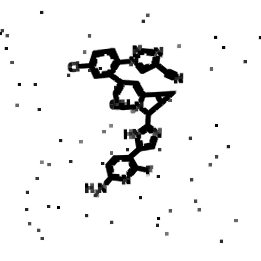 C/C=C(\C=C1\C2CC2C(c2ncc(-c3ccc(N)nc3F)[nH]2)N1C=O)c1cc(Cl)ccc1-n1cc(C#N)nn1